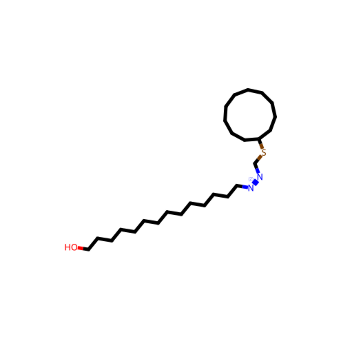 OCCCCCCCCCCCCCC/N=N\CSC1CCCCCCCCCC1